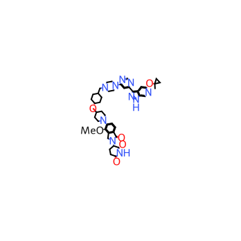 COc1c(N2CCC(OC3CCC(CN4CCN(c5cc(-c6n[nH]c7cnc(OC8(C)CC8)cc67)ncn5)CC4)CC3)CC2)ccc2c1CN(C1CCC(=O)NC1=O)C2=O